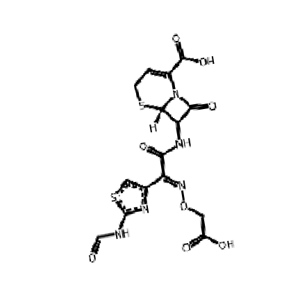 O=CNc1nc(C(=NOCC(=O)O)C(=O)NC2C(=O)N3C(C(=O)O)=CCS[C@@H]23)cs1